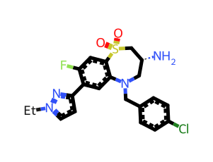 CCn1ccc(-c2cc3c(cc2F)S(=O)(=O)C[C@H](N)CN3Cc2ccc(Cl)cc2)n1